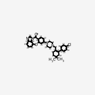 CC1(C)CCC(CN2CCN(c3ccc4c(c3)Oc3cccc5ncn(c35)C4=O)CC2)=C(c2ccc(Cl)cc2)C1